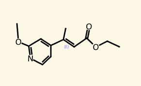 CCOC(=O)/C=C(\C)c1ccnc(OC)c1